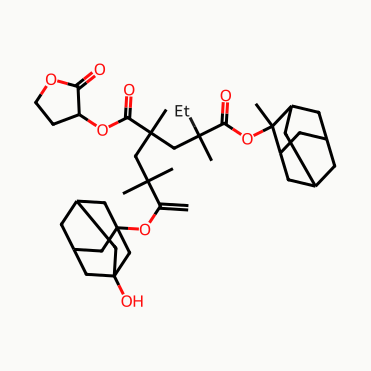 C=C(OC12CC3CC(CC(O)(C3)C1)C2)C(C)(C)CC(C)(CC(C)(CC)C(=O)OC1(C)C2CC3CC(C2)CC1C3)C(=O)OC1CCOC1=O